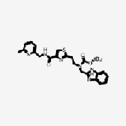 Cc1cccc(CNC(=O)c2csc(CCN(Cc3nc4ccccc4[nH]3)C(=O)OC(C)(C)C)n2)n1